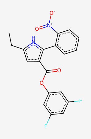 CCc1cc(C(=O)Oc2cc(F)cc(F)c2)c(-c2ccccc2[N+](=O)[O-])[nH]1